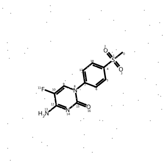 CS(=O)(=O)c1ccc(-n2cc(F)c(N)nc2=O)cc1